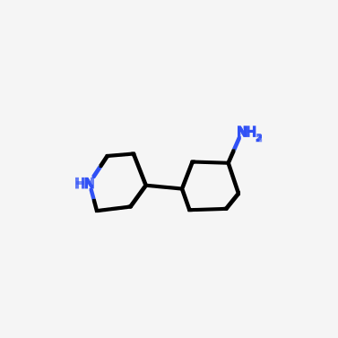 NC1CCCC(C2CCNCC2)C1